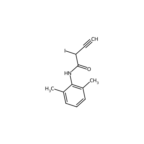 C#CC(I)C(=O)Nc1c(C)cccc1C